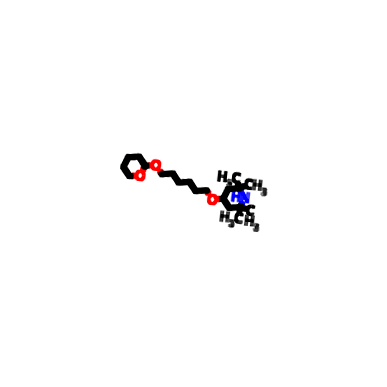 CC1(C)CC(OCCCCCCOC2CCCCO2)CC(C)(C)N1